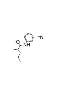 CCCC(C)C(=O)Nc1cccc(C#N)c1